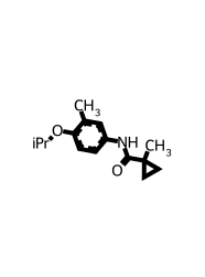 Cc1cc(NC(=O)C2(C)CC2)ccc1OC(C)C